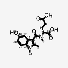 Cc1c(C(=O)N(C)[C@@H](CCC(=O)O)C(=O)O)c2cc(O)ccc2n1C